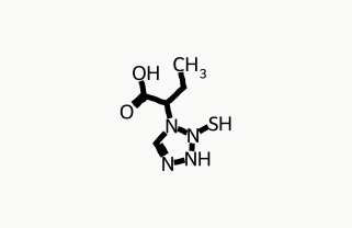 CCC(C(=O)O)N1C=NNN1S